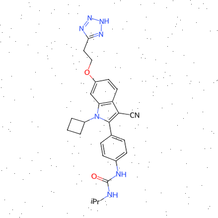 CC(C)NC(=O)Nc1ccc(-c2c(C#N)c3ccc(OCCc4nn[nH]n4)cc3n2C2CCC2)cc1